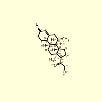 C[C@@H]1CC2=CC(=O)CC[C@@H]2[C@H]2CC[C@]3(C)[C@@H](C(=O)CO)CC[C@H]3[C@@H]21